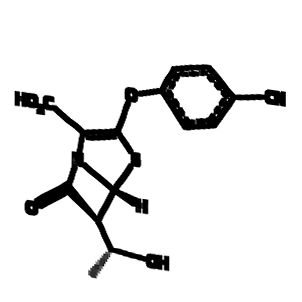 C[C@@H](O)[C@H]1C(=O)N2C(C(=O)O)=C(Oc3ccc(C#N)cc3)S[C@H]12